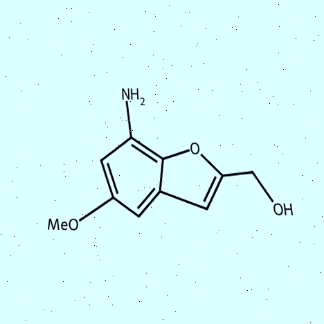 COc1cc(N)c2oc(CO)cc2c1